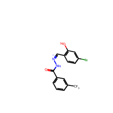 O=C(N/N=C\c1ccc(Br)cc1O)c1cccc(C(F)(F)F)c1